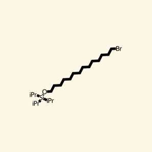 CC(C)[Si](OCCCCCCCCCCCCCCBr)(C(C)C)C(C)C